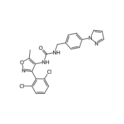 Cc1onc(-c2c(Cl)cccc2Cl)c1NC(=O)NCc1ccc(-n2cccn2)cc1